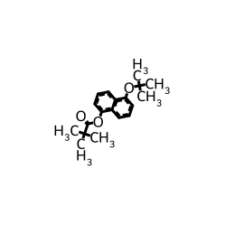 CC(C)(C)Oc1cccc2c(OC(=O)C(C)(C)C)cccc12